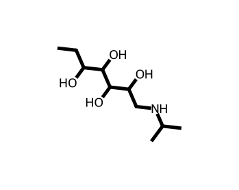 CCC(O)C(O)C(O)C(O)CNC(C)C